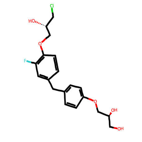 OC[C@H](O)COc1ccc(Cc2ccc(OC[C@H](O)CCl)c(F)c2)cc1